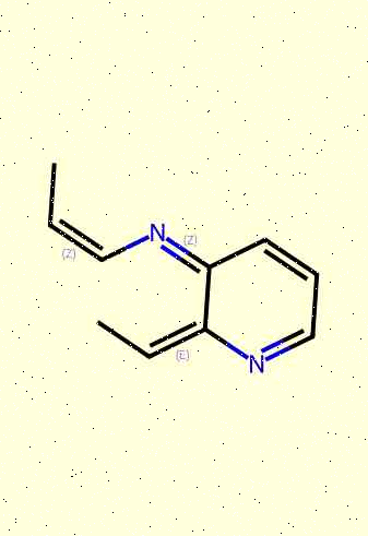 C\C=C/N=C1/C=CC=N/C1=C/C